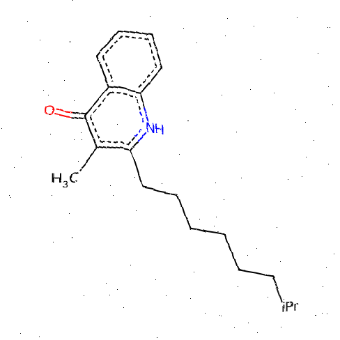 Cc1c(CCCCCCC(C)C)[nH]c2ccccc2c1=O